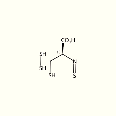 O=C(O)[C@H](CS)N=S.SS